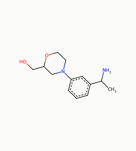 CC(N)c1cccc(N2CCOC(CO)C2)c1